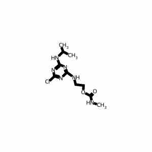 CNC(=O)OCCNc1nc(Cl)nc(NC(C)C)n1